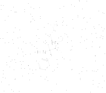 CC(C)CNC(=O)C(N)(CCCCO)Cc1ccccc1